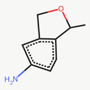 CC1OCc2cc(N)ccc21